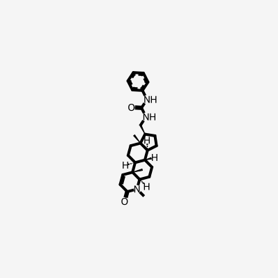 CN1C(=O)C=C[C@]2(C)[C@H]3CC[C@]4(C)[C@@H](CNC(=O)Nc5ccccc5)CC[C@H]4[C@@H]3CC[C@@H]12